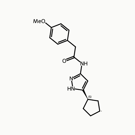 COc1ccc(CC(=O)Nc2cc([C@H]3C[CH]CC3)[nH]n2)cc1